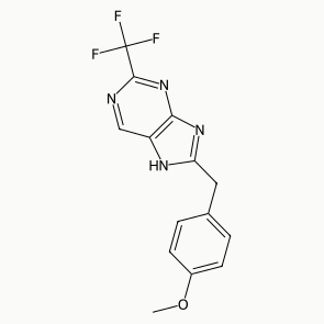 COc1ccc(Cc2nc3nc(C(F)(F)F)ncc3[nH]2)cc1